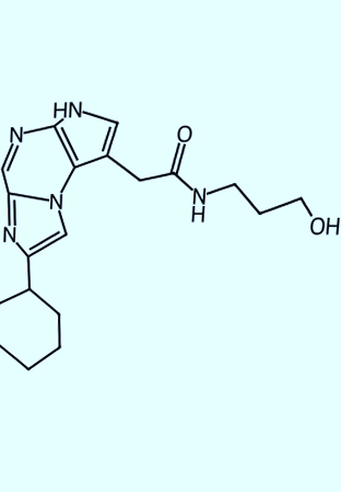 O=C(Cc1c[nH]c2ncc3nc(C4CCCCC4)cn3c12)NCCCO